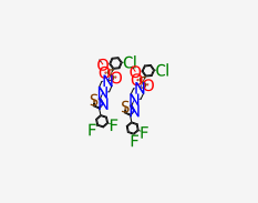 COc1ccc(Cl)cc1S(=O)(=O)N1CCN(c2nc(-c3cc(F)cc(F)c3)cs2)CC1.COc1ccc(Cl)cc1S(=O)(=O)N1CCN(c2nc(-c3ccc(F)c(F)c3)cs2)CC1